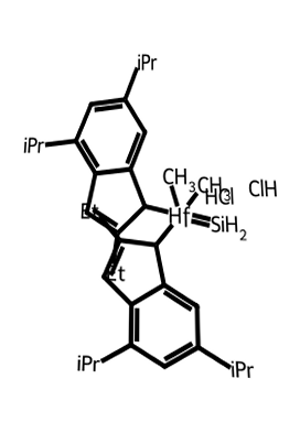 CCC1=Cc2c(C(C)C)cc(C(C)C)cc2[CH]1[Hf]([CH3])([CH3])(=[SiH2])[CH]1C(CC)=Cc2c(C(C)C)cc(C(C)C)cc21.Cl.Cl